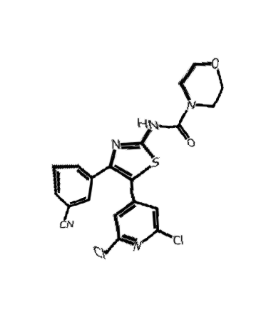 N#Cc1cccc(-c2nc(NC(=O)N3CCOCC3)sc2-c2cc(Cl)nc(Cl)c2)c1